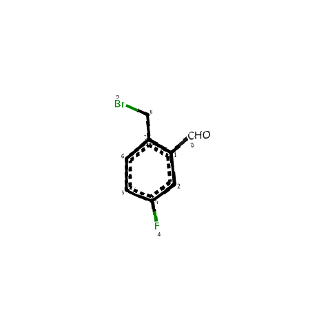 O=Cc1cc(F)ccc1CBr